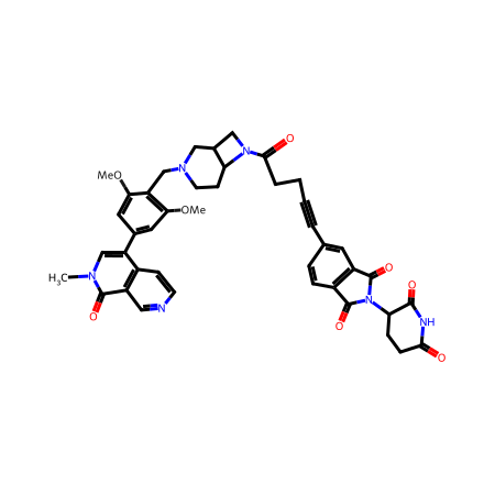 COc1cc(-c2cn(C)c(=O)c3cnccc23)cc(OC)c1CN1CCC2C(C1)CN2C(=O)CCC#Cc1ccc2c(c1)C(=O)N(C1CCC(=O)NC1=O)C2=O